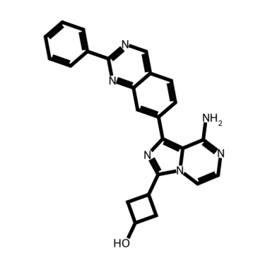 Nc1nccn2c(C3CC(O)C3)nc(-c3ccc4cnc(-c5ccccc5)nc4c3)c12